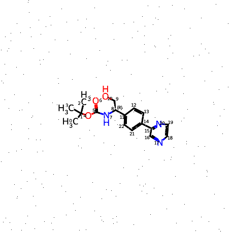 CC(C)(C)OC(=O)N[C@@H](CO)c1ccc(-c2cnccn2)cc1